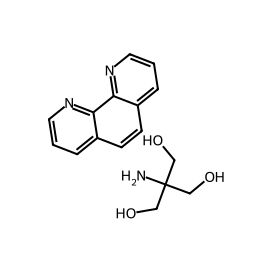 NC(CO)(CO)CO.c1cnc2c(c1)ccc1cccnc12